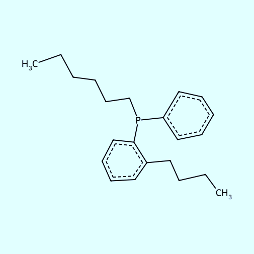 CCCCCCP(c1ccccc1)c1ccccc1CCCC